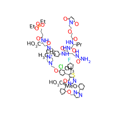 CCOP(=O)(CCCC(=O)NC(CC(=O)N(C)Cc1cc(NC(=O)C(CCCNC(N)=O)NC(=O)C(NC(=O)CCOCCN2C(=O)C=CC2=O)C(C)C)ccc1C[N+]1(C)CCN(CCOc2ccc(-c3c(-c4ccc(F)cc4)sc4ncnc(O[C@H](Cc5ccccc5OCc5ccnc(-c6ccccc6OC)n5)C(=O)O)c34)c(C)c2Cl)CC1)C(=O)O)OCC